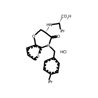 CC(C)c1ccc(CN2C(=O)[C@@H](N[C@H](C(=O)O)C(C)C)COc3ccccc32)cc1.Cl